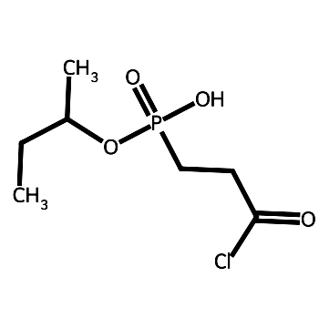 CCC(C)OP(=O)(O)CCC(=O)Cl